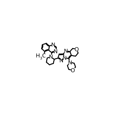 Cc1cccc2ncnc(N3CCCCC3c3cc4nc5c(c(N6CCOCC6)n4n3)CCOC5)c12